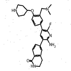 CN(C)Cc1cc(-c2cc(-c3ccc4c(c3)CCNC4=O)c(N)nc2F)ccc1OC1CCNCC1